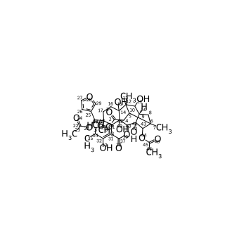 COC(=O)CC1C2(C)C[C@H]3C(O)C1(C)C1(O)CCC(C)(C(OC(C)=O)c4ccoc4)C4/C(=C(/O)C(C)C)C(=O)OC(C3(O)C2OC(C)=O)C41O